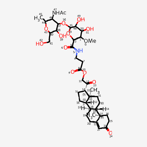 COC1C(C(=O)NCCC(=O)OCC(=O)[C@H]2CC[C@H]3[C@@H]4CCC5=CC(=O)CC[C@]5(C)[C@H]4CC[C@]23C)OC(OC2C(O)C(CO)OC(C)C2NC(C)=O)C(O)C1O